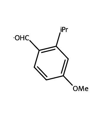 COc1ccc([C]=O)c(C(C)C)c1